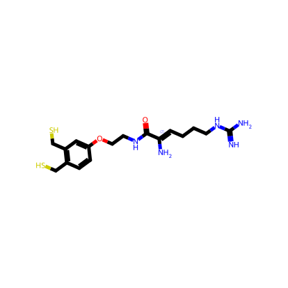 N=C(N)NCCC/C=C(\N)C(=O)NCCOc1ccc(CS)c(CS)c1